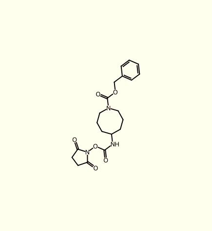 O=C(NC1CCCN(C(=O)OCc2ccccc2)CCC1)ON1C(=O)CCC1=O